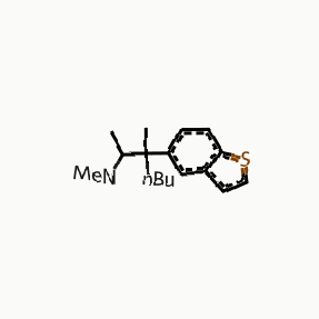 CCCCC(C)(c1ccc2sccc2c1)C(C)NC